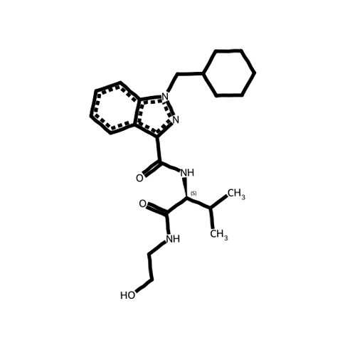 CC(C)[C@H](NC(=O)c1nn(CC2CCCCC2)c2ccccc12)C(=O)NCCO